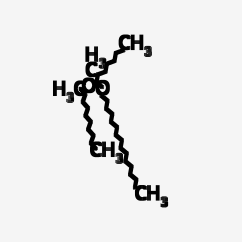 CCCCCCCCCC.CCCCCCCCCCCCCCCCOC(=O)C(C)CCCCCC